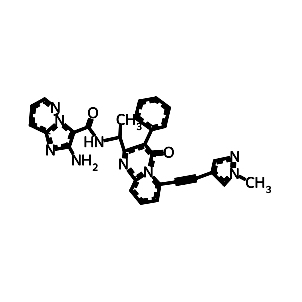 CC(NC(=O)c1c(N)nc2cccnn12)c1nc2cccc(C#Cc3cnn(C)c3)n2c(=O)c1-c1ccccc1